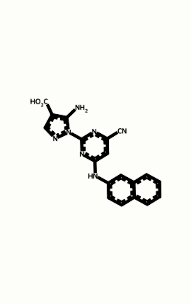 N#Cc1cc(Nc2ccc3ccccc3c2)nc(-n2ncc(C(=O)O)c2N)n1